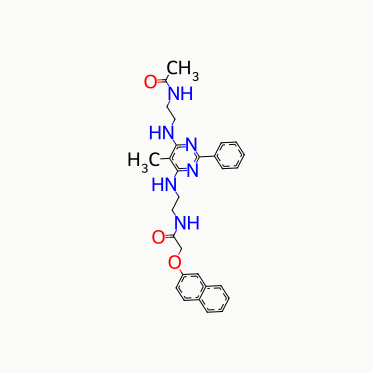 CC(=O)NCCNc1nc(-c2ccccc2)nc(NCCNC(=O)COc2ccc3ccccc3c2)c1C